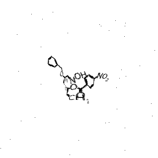 C=C[C@H](C[C@H](C=NO)OCc1ccccc1)OC(=O)c1ccc([N+](=O)[O-])cc1